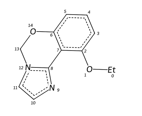 CCOc1cccc2c1-c1nccn1CO2